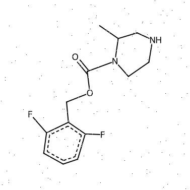 CC1CNCCN1C(=O)OCc1c(F)cccc1F